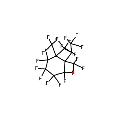 FC(F)(F)C(F)(F)C1(C(F)(F)F)C(F)(F)C(F)(F)C(F)(F)C(F)(F)C1(C(F)(F)F)C(F)(F)F